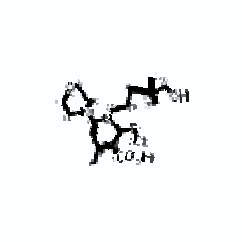 CCSC1C(C(=O)O)=C(C)C=C(N2CCOCC2)N1CCCC(C)(C)CO